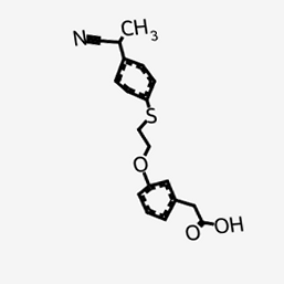 CC(C#N)c1ccc(SCCOc2cccc(CC(=O)O)c2)cc1